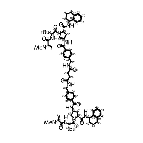 CN[C@@H](C)C(=O)N[C@H](C(=O)N1C[C@@H](NC(=O)c2ccc(CNC(=O)CCC(=O)NCc3ccc(C(=O)N[C@H]4C[C@@H](C(=O)NC5CCCc6ccccc65)N(C(=O)[C@@H](NC(=O)[C@H](C)NC)C(C)(C)C)C4)cc3)cc2)C[C@H]1C(=O)NC1CCCc2ccccc21)C(C)(C)C